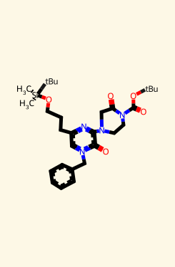 CC(C)(C)OC(=O)N1CCN(c2nc(CCCO[Si](C)(C)C(C)(C)C)cn(Cc3ccccc3)c2=O)CC1=O